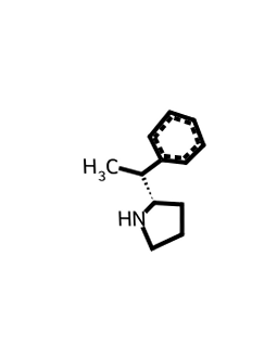 CC(c1ccccc1)[C@@H]1CCCN1